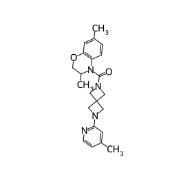 Cc1ccnc(N2CC3(CN(C(=O)N4c5ccc(C)cc5OCC4C)C3)C2)c1